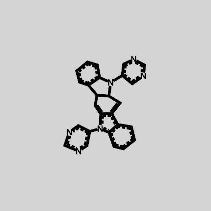 C1=c2c(n(-c3cncnc3)c3ccccc23)=CC2c3ccccc3N(c3cncnc3)C12